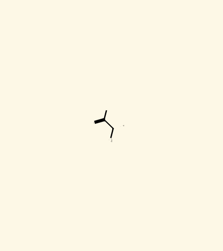 C[C@H](N)C(=O)Cl.O.O.O.O